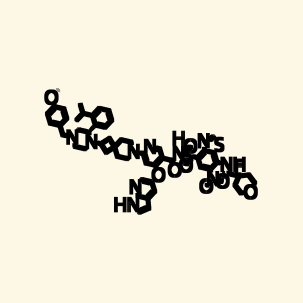 COc1ccc(CN2CCN(C3CC4(CCN(c5cc(Oc6cnc7[nH]ccc7c6)c(C(=O)NS(=O)(=O)c6cc([N+](=O)[O-])c(NCC7(F)CCOCC7)c7scnc67)cn5)CC4)C3)[C@H](c3ccccc3C(C)C)C2)cc1